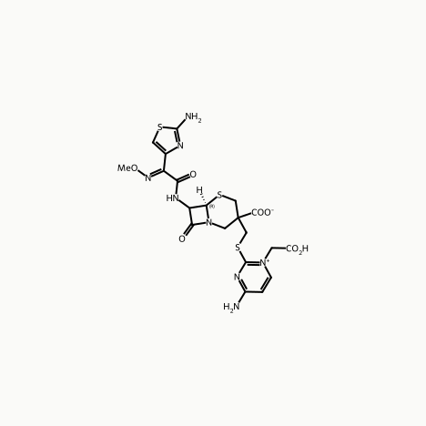 CON=C(C(=O)NC1C(=O)N2CC(CSc3nc(N)cc[n+]3CC(=O)O)(C(=O)[O-])CS[C@H]12)c1csc(N)n1